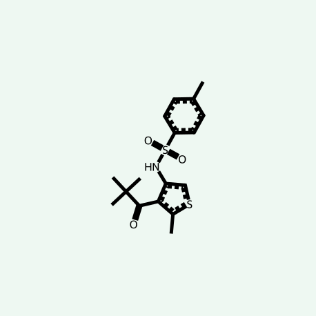 Cc1ccc(S(=O)(=O)Nc2csc(C)c2C(=O)C(C)(C)C)cc1